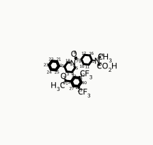 C[C@@H](O[C@H]1CCN(C(=O)[C@H]2CC[C@H](N(C)C(=O)O)CC2)C[C@H]1c1ccccc1)c1cc(C(F)(F)F)cc(C(F)(F)F)c1